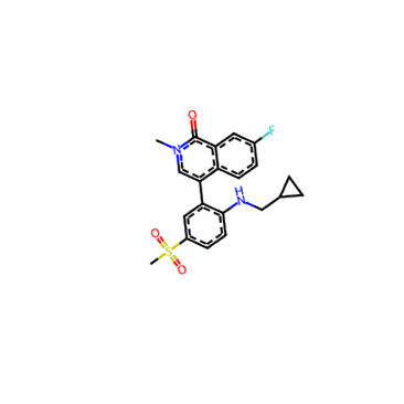 Cn1cc(-c2cc(S(C)(=O)=O)ccc2NCC2CC2)c2ccc(F)cc2c1=O